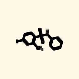 Cc1cc(I)ccc1S(=O)(=O)Nc1ccccc1